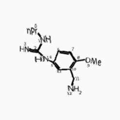 CCCNC(=N)Nc1ccc(OC)c(CN)c1